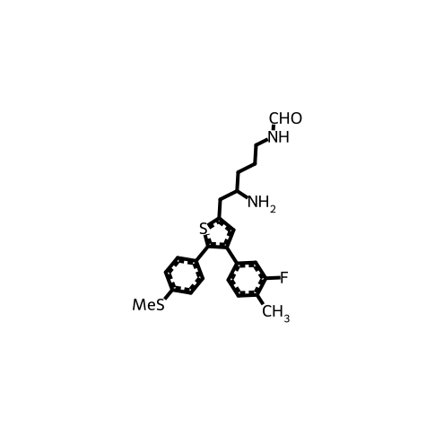 CSc1ccc(-c2sc(CC(N)CCCNC=O)cc2-c2ccc(C)c(F)c2)cc1